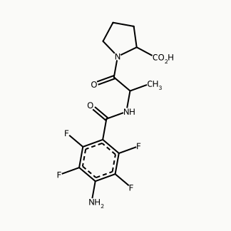 CC(NC(=O)c1c(F)c(F)c(N)c(F)c1F)C(=O)N1CCCC1C(=O)O